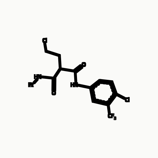 CCNC(=O)C(CCCl)C(=O)Nc1ccc(Cl)c(C(F)(F)F)c1